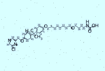 CC(C)(c1ccc(OCCCCCCCCOCCCCNC(=O)O)cc1)c1ccc(OCc2cncc(Cl)n2)cc1